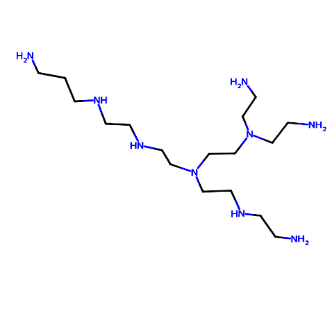 NCCCNCCNCCN(CCNCCN)CCN(CCN)CCN